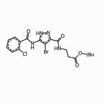 CC(C)(C)OC(=O)CCNC(=O)c1n[nH]c(NC(=O)c2ccccc2Cl)c1Br